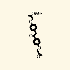 COC(C)COc1ccc(CC(=O)c2ccc(OCC3CO3)cc2)cc1